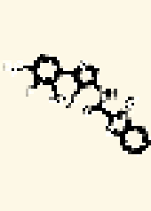 Cc1ccc(-c2scc(NC(=O)c3sc4ccccc4[n+]3[O-])c2C(=O)O)c(F)c1F